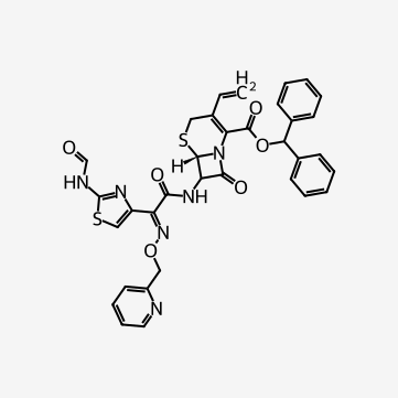 C=CC1=C(C(=O)OC(c2ccccc2)c2ccccc2)N2C(=O)C(NC(=O)C(=NOCc3ccccn3)c3csc(NC=O)n3)[C@@H]2SC1